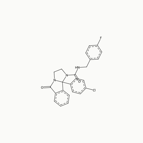 O=C(NCc1ccc(F)cc1)N1CCN2C(=O)c3ccccc3C12c1ccc(Cl)cc1